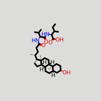 CCC(C)[C@H](NC(=O)[C@@H](NC(=O)CC[C@@H](C)[C@H]1CC[C@H]2[C@@H]3CC[C@@H]4C[C@H](O)CC[C@]4(C)[C@H]3CC[C@]12C)C(C)C)C(=O)O